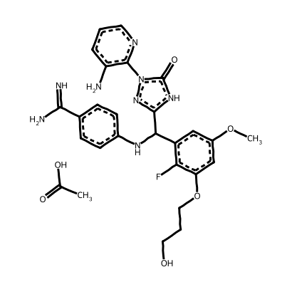 CC(=O)O.COc1cc(OCCCO)c(F)c(C(Nc2ccc(C(=N)N)cc2)c2nn(-c3ncccc3N)c(=O)[nH]2)c1